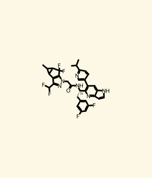 CC(C)c1ccc(-c2cc3[nH]ccc3nc2[C@H](Cc2cc(F)cc(F)c2)NC(=O)Cn2nc(C(F)F)c3c2C(F)(F)C2C(C)C32)cn1